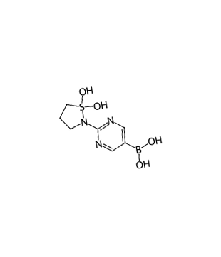 OB(O)c1cnc(N2CCCS2(O)O)nc1